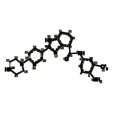 Nc1ccc(NC(=O)c2cccc3[nH]c(-c4ccc(N5CCNCC5)nc4)nc23)cc1C(F)(F)F